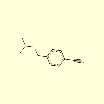 C[C](C)SCc1ccc(C#N)cc1